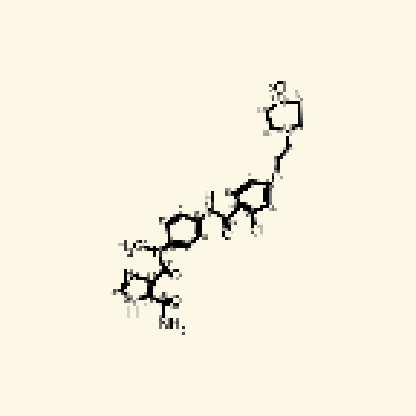 CN1CCN(CCOc2ccc(C(=O)Nc3ccc(N(C)C(=O)c4nc[nH]c4C(N)=O)cc3)c(Cl)c2)CC1